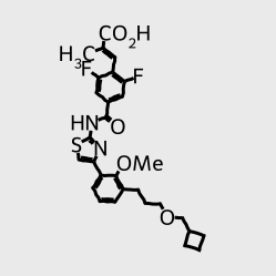 COc1c(CCCOCC2CCC2)cccc1-c1csc(NC(=O)c2cc(F)c(C=C(C)C(=O)O)c(F)c2)n1